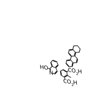 Cc1c(C(=O)O)cccc1C(=O)O.Oc1nccc2ccccc12.c1ccc2c(c1)ccc1c3c(ccc12)CCCC3